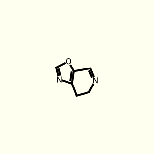 C1=NCCc2ncoc21